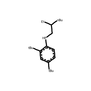 CCCCC(CC)CPc1ccc(C(C)(C)C)cc1C(C)(C)C